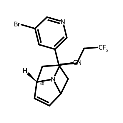 N#CC1(c2cncc(Br)c2)CC2C=C[C@H](C1)N2CCCC(F)(F)F